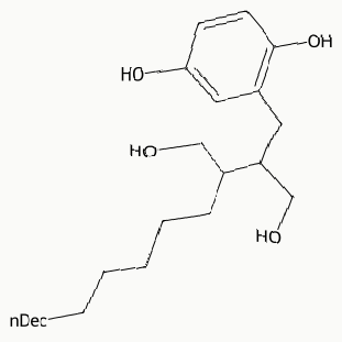 CCCCCCCCCCCCCCCC(CO)C(CO)Cc1cc(O)ccc1O